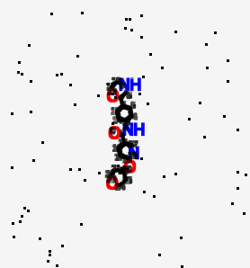 O=C(Nc1ccc(C2CNCCO2)cc1)c1ccc(OC2CCOCC2)nc1